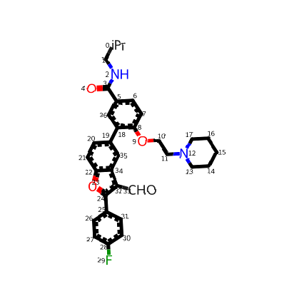 CC(C)CNC(=O)c1ccc(OCCN2CCCCC2)c(-c2ccc3oc(-c4ccc(F)cc4)c(C=O)c3c2)c1